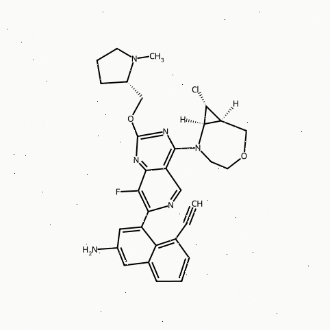 C#Cc1cccc2cc(N)cc(-c3ncc4c(N5CCOC[C@@H]6[C@@H](Cl)[C@@H]65)nc(OC[C@@H]5CCCN5C)nc4c3F)c12